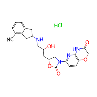 Cl.N#Cc1cccc2c1CC(NCC(O)CC1CN(c3ccc4c(n3)NC(=O)CO4)C(=O)O1)C2